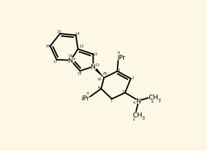 CC(C)C1=CC(N(C)C)CC(C(C)C)[C@H]1n1cc2cccc[n+]2c1